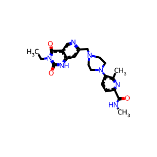 CCn1c(=O)[nH]c2cc(CN3CCN(c4ccc(C(=O)NC)nc4C)CC3)ncc2c1=O